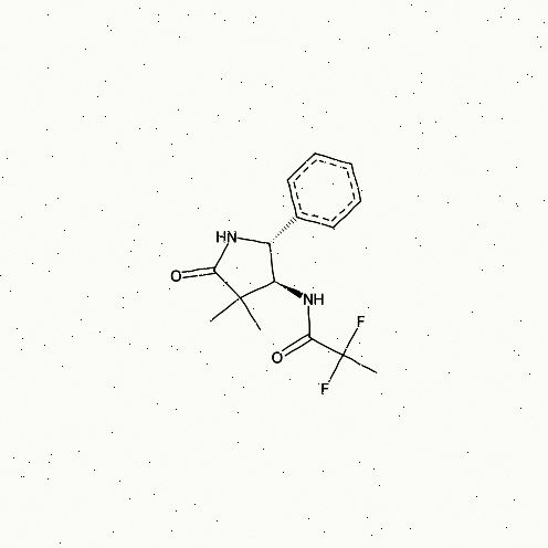 CC(F)(F)C(=O)N[C@@H]1[C@@H](c2ccccc2)NC(=O)C1(C)C